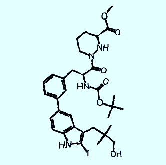 COC(=O)[C@@H]1CCCN(C(=O)[C@H](Cc2cccc(-c3ccc4[nH]c(I)c(CC(C)(C)CO)c4c3)c2)NC(=O)OC(C)(C)C)N1